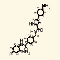 Nc1ccc(-c2cc(C(=O)NCc3ccc(C(=O)Nc4ccc(F)cc4N)cc3)[nH]n2)cc1